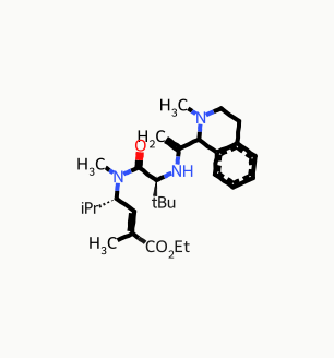 C=C(N[C@H](C(=O)N(C)[C@H](/C=C(\C)C(=O)OCC)C(C)C)C(C)(C)C)C1c2ccccc2CCN1C